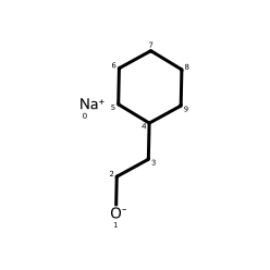 [Na+].[O-]CCC1CCCCC1